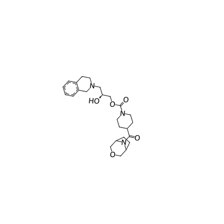 O=C(OC[C@@H](O)CN1CCc2ccccc2C1)N1CCC(C(=O)N2C3CCC2COC3)CC1